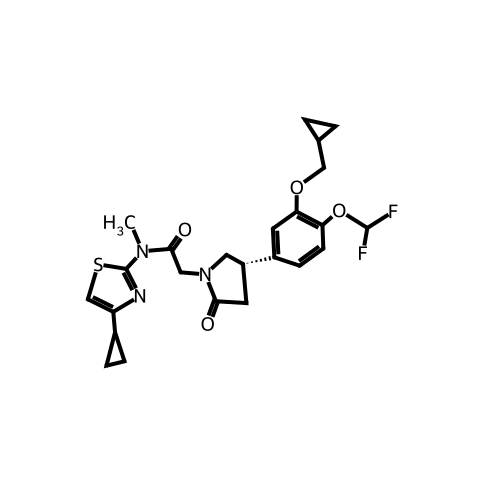 CN(C(=O)CN1C[C@H](c2ccc(OC(F)F)c(OCC3CC3)c2)CC1=O)c1nc(C2CC2)cs1